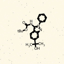 CC(C)(C)OC(=O)Nc1c2ccc(C(C)(C)O)cc2nn1-c1ccccc1